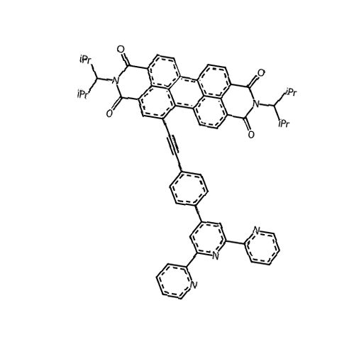 CC(C)C(C(C)C)N1C(=O)c2ccc3c4ccc5c6c(cc(C#Cc7ccc(-c8cc(-c9ccccn9)nc(-c9ccccn9)c8)cc7)c(c7ccc(c2c37)C1=O)c64)C(=O)N(C(C(C)C)C(C)C)C5=O